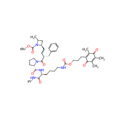 CC1=C(C)C(=O)C(CCCOC(=O)NCCCC[C@H](NC(=O)[C@@H]2CCCN2C(=O)[C@H](/C=C/[C@@H]2CC(C)N2C(=O)OC(C)(C)C)Cc2ccccc2)C(=O)NC(C)C)=C(C)C1=O